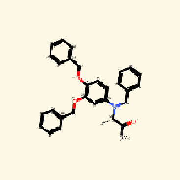 COC(=O)[C@H](C)N(Cc1ccccc1)c1ccc(OCc2ccccc2)c(OCc2ccccc2)c1